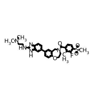 Cc1c(C(=O)N2CCOc3ccc(-c4ccc5nc(NCCN(C)C)[nH]c5c4)cc3C2)ccc(S(C)(=O)=O)c1F